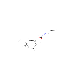 CCCCNC(=O)OC1CC(C)CC(C)(C)C1